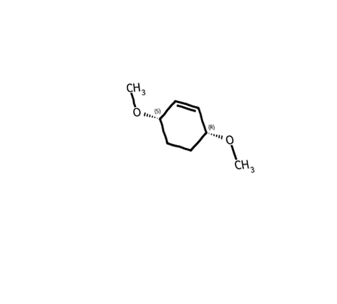 CO[C@@H]1C=C[C@H](OC)CC1